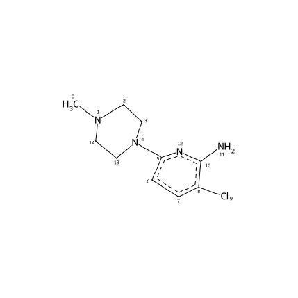 CN1CCN(c2ccc(Cl)c(N)n2)CC1